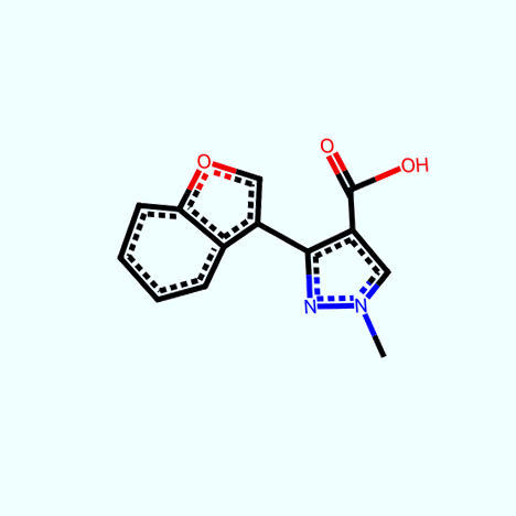 Cn1cc(C(=O)O)c(-c2coc3ccccc23)n1